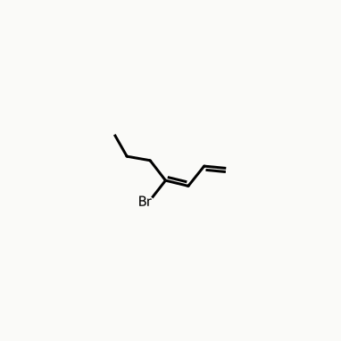 C=C/C=C(/Br)CCC